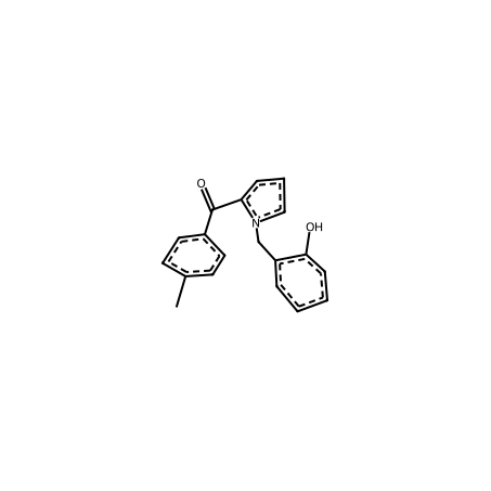 Cc1ccc(C(=O)c2cccn2Cc2ccccc2O)cc1